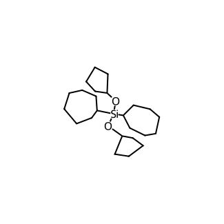 C1CCCC([Si](OC2CCCC2)(OC2CCCC2)C2CCCCCC2)CC1